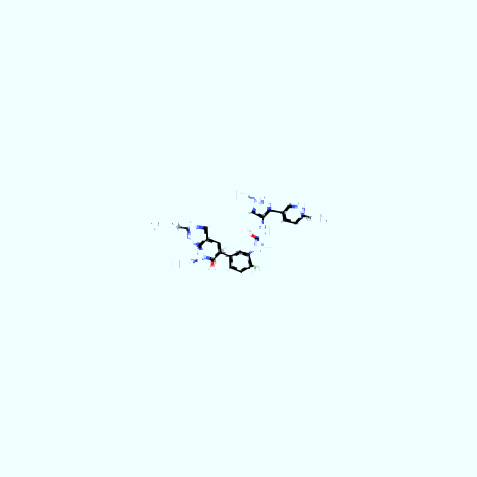 CNc1ncc2cc(-c3ccc(F)c(NC(=O)Nc4cn(C(C)C)nc4-c4ccc(C#N)nc4)c3)c(=O)n(C)c2n1